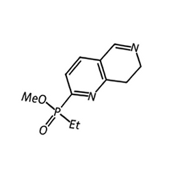 CCP(=O)(OC)c1ccc2c(n1)CCN=C2